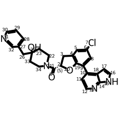 O=C([C@@H]1Cc2cc(Cl)cc(-c3ccnc4[nH]ccc34)c2O1)N1CCC(O)(Cc2cccnc2)CC1